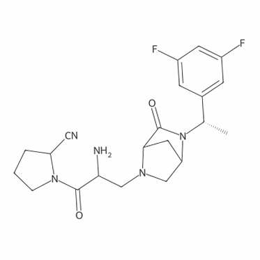 C[C@@H](c1cc(F)cc(F)c1)N1C(=O)C2CC1CN2CC(N)C(=O)N1CCCC1C#N